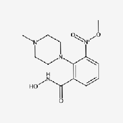 CO[N+](=O)c1cccc(C(=O)NO)c1N1CCN(C)CC1